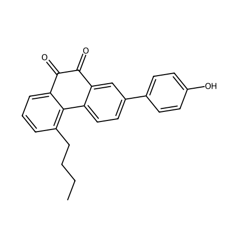 CCCCc1cccc2c1-c1ccc(-c3ccc(O)cc3)cc1C(=O)C2=O